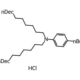 CCCCCCCCCCCCCCCCN(CCCCCCCCCCCCCCCC)c1ccc(CCCC)cc1.Cl